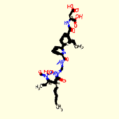 C=Cc1cc(-c2cccc(C(=O)NCNC(=O)[C@H](CCCCC)[C@@H](CC)N(O)C=O)n2)ccc1C(=O)N[C@@H](CC(=O)O)C(=O)O